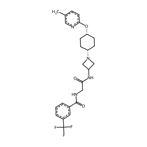 Cc1ccc(O[C@H]2CC[C@@H](N3CC(NC(=O)CNC(=O)c4cccc(C(F)(F)F)c4)C3)CC2)nc1